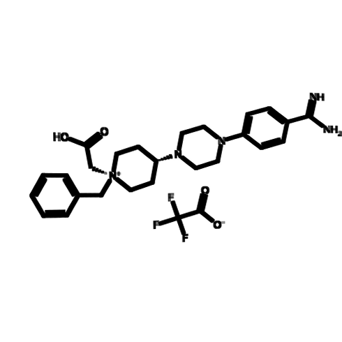 N=C(N)c1ccc(N2CCN([C@H]3CC[N@+](CC(=O)O)(Cc4ccccc4)CC3)CC2)cc1.O=C([O-])C(F)(F)F